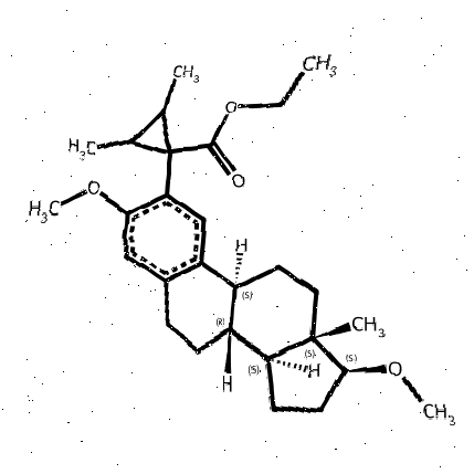 CCOC(=O)C1(c2cc3c(cc2OC)CC[C@@H]2[C@@H]3CC[C@]3(C)[C@@H](OC)CC[C@@H]23)C(C)C1C